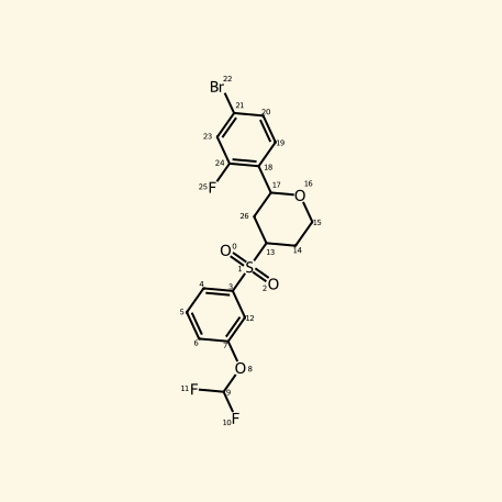 O=S(=O)(c1cccc(OC(F)F)c1)C1CCOC(c2ccc(Br)cc2F)C1